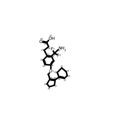 NC(F)(F)c1cc(OCC2=C(C3=CCCCC3)CCC2)ccc1CCC(=O)O